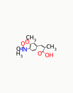 COc1cc(C=C(C)C(=O)O)ccc1NC(C)=O